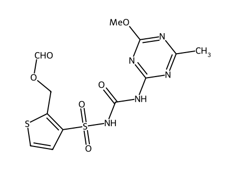 COc1nc(C)nc(NC(=O)NS(=O)(=O)c2ccsc2COC=O)n1